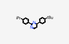 CC(C)c1ccc(-c2nccc(-c3ccc(C(C)(C)C)cc3)n2)cc1